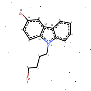 BrCCCCn1c2ccccc2c2cc(Br)ccc21